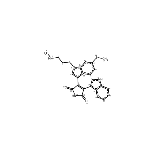 CNCCCn1cc(C2=C(c3c[nH]c4ccccc34)C(=O)NC2=O)c2ccc(SC)cc21